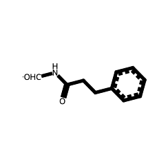 O=[C]NC(=O)CCc1ccccc1